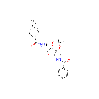 CC1(C)O[C@@H]2[C@@H](CNC(=O)c3ccc(C(F)(F)F)cc3)OC[C@]2(CNC(=O)c2ccccc2)O1